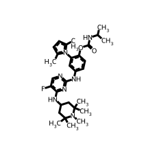 Cc1ccc(C)n1-c1cc(Nc2ncc(F)c(NC3CC(C)(C)N(C)C(C)(C)C3)n2)ccc1OC(=O)NC(C)C